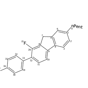 CCCCCc1ccc2c(c1)Cc1c-2ccc(-c2ccc(C#N)cc2)c1F